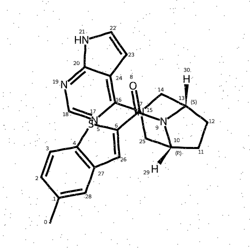 Cc1ccc2sc(C(=O)N3[C@@H]4CC[C@H]3CN(c3ncnc5[nH]ccc35)C4)cc2c1